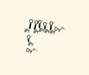 CC(C)[O-].CC(C)[O-].CC(C)[O-].CC(C)[O-].CC(C)[O-].CC(C)[O-].[Dy+3].[Dy+3]